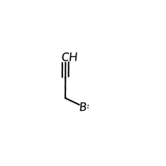 [B]CC#C